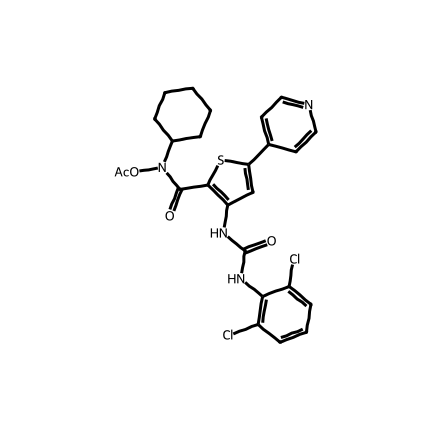 CC(=O)ON(C(=O)c1sc(-c2ccncc2)cc1NC(=O)Nc1c(Cl)cccc1Cl)C1CCCCC1